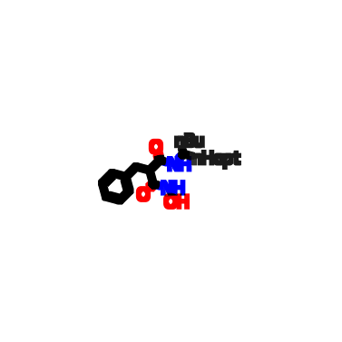 CCCCCCCC(CCCC)NC(=O)C(Cc1ccccc1)C(=O)NO